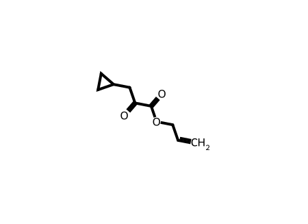 C=CCOC(=O)C(=O)CC1CC1